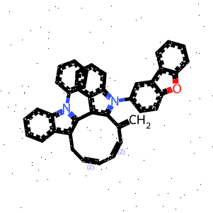 C=C1/C=C\C=C/Cc2c(n(-c3ccccc3)c3ccccc23)-c2c1n(-c1ccc3oc4ccccc4c3c1)c1ccccc21